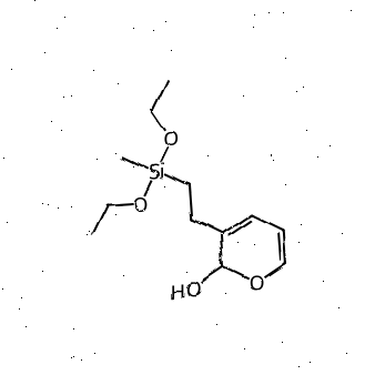 CCO[Si](C)(CCC1=CC=COC1O)OCC